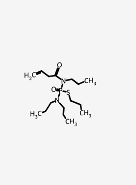 C=CCC(=O)N(CCC)P(=O)(SCCC)N(CCC)CCC